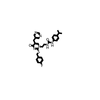 CC(C)c1ccc(NC(=O)NCCn2cc(Cc3cncnc3)c(=O)nc2SCc2ccc(F)cc2)cc1